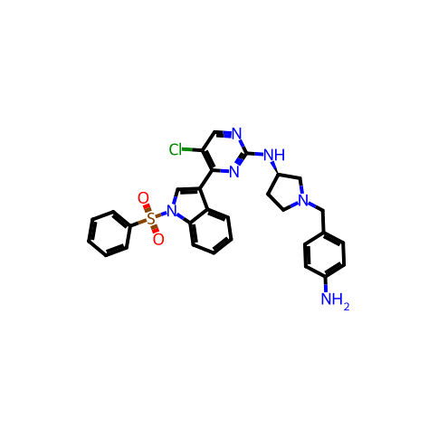 Nc1ccc(CN2CC[C@@H](Nc3ncc(Cl)c(-c4cn(S(=O)(=O)c5ccccc5)c5ccccc45)n3)C2)cc1